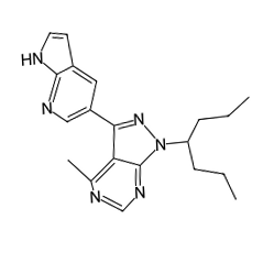 CCCC(CCC)n1nc(-c2cnc3[nH]ccc3c2)c2c(C)ncnc21